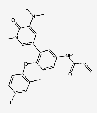 C=CC(=O)Nc1ccc(Oc2ccc(F)cc2F)c(-c2cc(N(C)C)c(=O)n(C)c2)c1